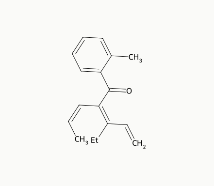 C=C/C(CC)=C(/C=C\C)C(=O)c1ccccc1C